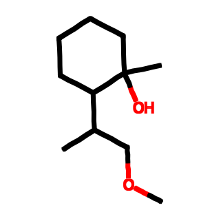 COCC(C)C1CCCCC1(C)O